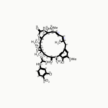 COc1cc2cc(c1Cl)N(C)C(=O)C[C@H](OC(O)Nc1ccc([N+](=O)[O-])c(Cl)c1)[C@]1(C)O[C@H]1[C@H](C)[C@@H]1C[C@@](O)(NC(=O)O1)[C@H](OC)/C=C/C=C(\C)C2